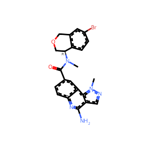 CN(C(=O)c1ccc2nc(N)c3cnn(C)c3c2c1)[C@H]1COCc2cc(Br)ccc21